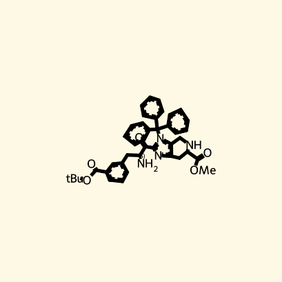 COC(=O)C1Cc2nc(C(=O)[C@@H](N)Cc3cccc(C(=O)OC(C)(C)C)c3)n(C(c3ccccc3)(c3ccccc3)c3ccccc3)c2CN1